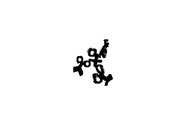 C=C(C)C(=O)OCC(C)(COC(=O)C(=C)C)C(=O)N=C=S